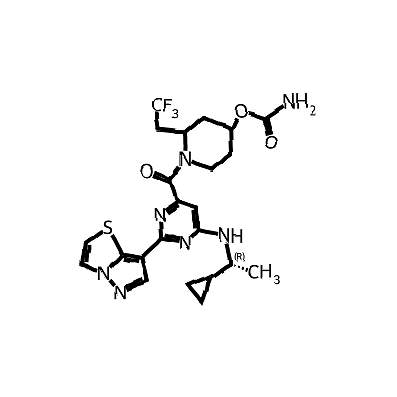 C[C@@H](Nc1cc(C(=O)N2CCC(OC(N)=O)CC2CC(F)(F)F)nc(-c2cnn3ccsc23)n1)C1CC1